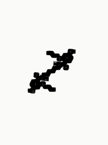 CCCCOc1cc(OC)ccc1C(=O)NCCCCCCNC(=O)c1ccc(OC)cc1OCCCC